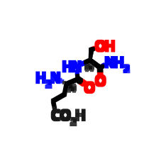 NC(=O)[C@H](CO)NC(=O)[C@@H](N)CCC(=O)O